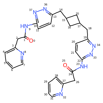 O=C(Cc1ccccn1)Nc1ccc(CC2CC(Cc3ccc(NC(=O)Cc4ccccn4)nn3)C2)nn1